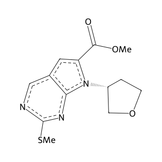 COC(=O)c1cc2cnc(SC)nc2n1[C@@H]1CCOC1